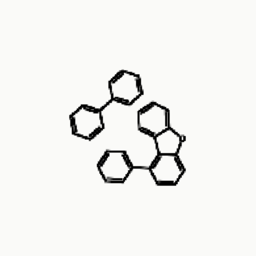 c1ccc(-c2cccc3oc4ccccc4c23)cc1.c1ccc(-c2ccccc2)cc1